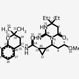 CCC1(CC)CC(=O)N(C(CCOC)C2C[C@H]2C(=O)N[C@H]2CC(C)(C)Oc3ccccc32)C(=N)N1